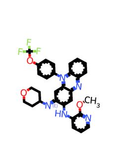 COc1ncccc1Nc1cc2nc3ccccc3n(-c3ccc(OC(F)(F)F)cc3)c-2c/c1=N\C1CCOCC1